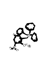 Br.Cc1c(C[PH](c2ccccc2)(c2ccccc2)c2ccccc2)cc(F)cc1[N+](=O)[O-]